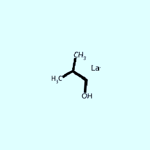 CC(C)CO.[La]